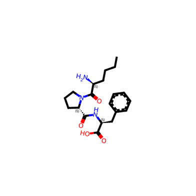 CCCC[C@H](N)C(=O)N1CCC[C@H]1C(=O)N[C@@H](Cc1ccccc1)C(=O)O